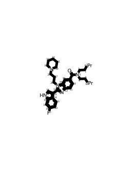 CC(C)CCN(CCC(C)C)C(=O)c1ccc2nc(-c3c[nH]c4cc(F)ccc34)n(CCCN3CCCCC3)c2c1